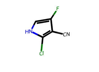 N#Cc1c(F)c[nH]c1Cl